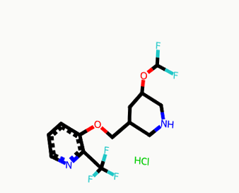 Cl.FC(F)OC1CNCC(COc2cccnc2C(F)(F)F)C1